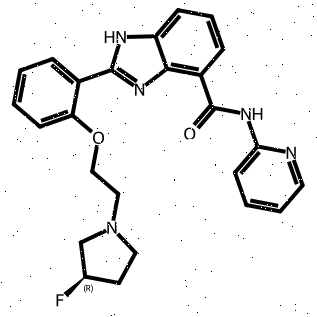 O=C(Nc1ccccn1)c1cccc2[nH]c(-c3ccccc3OCCN3CC[C@@H](F)C3)nc12